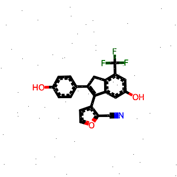 N#Cc1occc1C1=C(c2ccc(O)cc2)Cc2c1cc(O)cc2C(F)(F)F